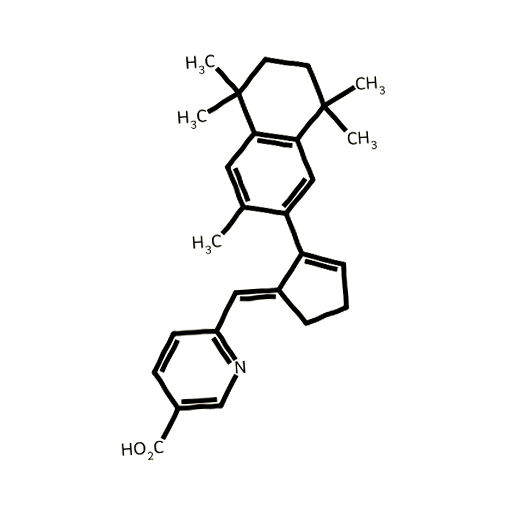 Cc1cc2c(cc1C1=CCC/C1=C\c1ccc(C(=O)O)cn1)C(C)(C)CCC2(C)C